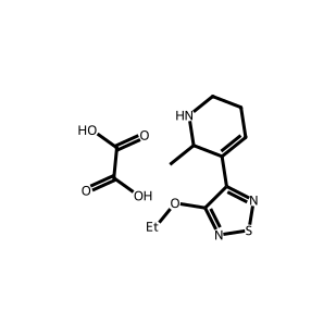 CCOc1nsnc1C1=CCCNC1C.O=C(O)C(=O)O